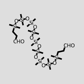 C[Si](C)(CCC=O)O[Si](C)(C)O[Si](C)(C)O[Si](C)(C)O[Si](C)(C)O[Si](C)(C)O[Si](C)(C)O[Si](C)(C)O[Si](C)(C)CCC=O